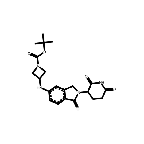 CC(C)(C)OC(=O)N1CC(Nc2ccc3c(c2)CN(C2CCC(=O)NC2=O)C3=O)C1